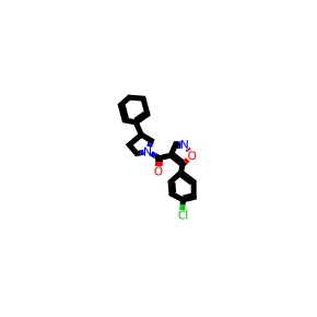 O=C(c1cnoc1-c1ccc(Cl)cc1)N1CCC(C2=CCCC=C2)C1